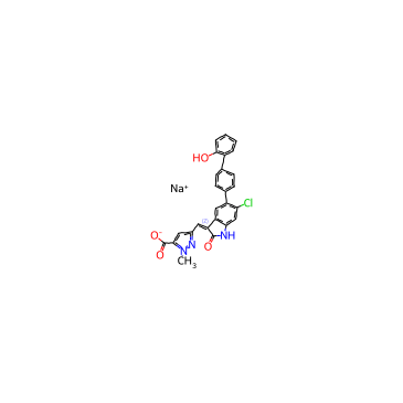 Cn1nc(/C=C2\C(=O)Nc3cc(Cl)c(-c4ccc(-c5ccccc5O)cc4)cc32)cc1C(=O)[O-].[Na+]